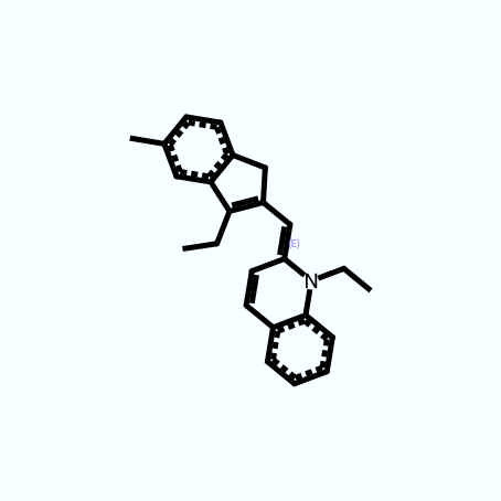 CCC1=C(/C=C2\C=Cc3ccccc3N2CC)Cc2ccc(C)cc21